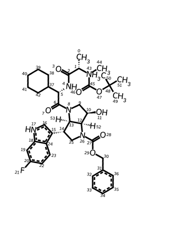 C[C@@H](C(=O)N[C@H](C(=O)N1C[C@@H](O)[C@@H]2[C@H]1[C@@H](c1c[nH]c3cc(F)ccc13)CN2C(=O)OCc1ccccc1)C1CCCCC1)N(C)C(=O)OC(C)(C)C